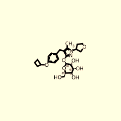 Cc1c(Cc2ccc(OC3CCC3)cc2)c(O[C@@H]2O[C@H](CO)[C@@H](O)[C@H](O)[C@H]2O)nn1C1CCOC1